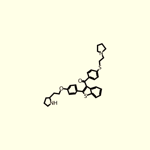 O=C(c1ccc(SCCN2CCCC2)cc1)c1c(-c2ccc(OCCC3CCCN3)cc2)sc2ccccc12